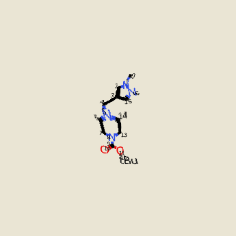 Cn1cc(CN2CCN(C(=O)OC(C)(C)C)CC2)cn1